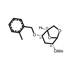 CO[C@@H]1C[C@H](OCc2ccccc2C)[C@H]2COC1O2